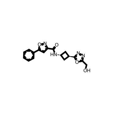 O=C(N[C@H]1C[C@H](c2nnc(CO)o2)C1)c1cc(-c2ccccc2)on1